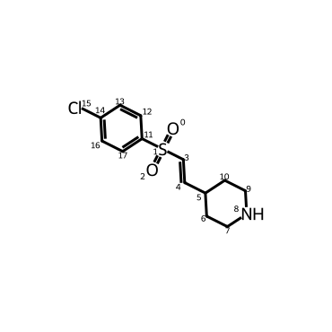 O=S(=O)(/C=C/C1CCNCC1)c1ccc(Cl)cc1